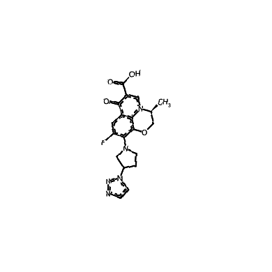 C[C@H]1COc2c(N3CCC(n4ccnn4)C3)c(F)cc3c(=O)c(C(=O)O)cn1c23